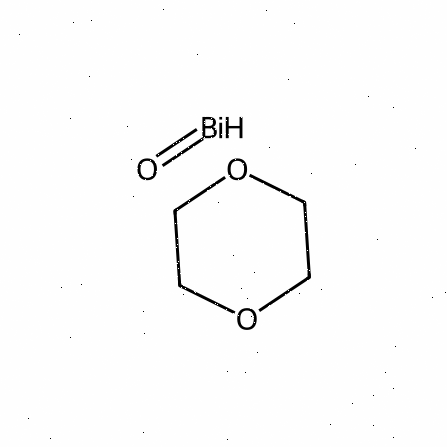 C1COCCO1.[O]=[BiH]